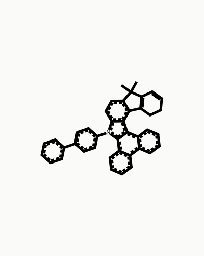 CC1(C)C2=C(CCC=C2)c2c1ccc1c2c2c3ccccc3c3ccccc3c2n1-c1ccc(-c2ccccc2)cc1